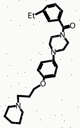 CCc1cccc(C(=O)N2CCN(c3ccc(OCCCN4CCCCC4)cc3)CC2)c1